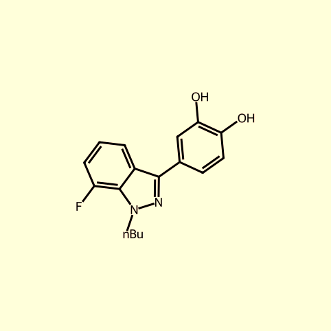 CCCCn1nc(-c2ccc(O)c(O)c2)c2cccc(F)c21